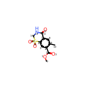 COC(=O)c1cc2c(cc1C)C(=O)NCS2(=O)=O